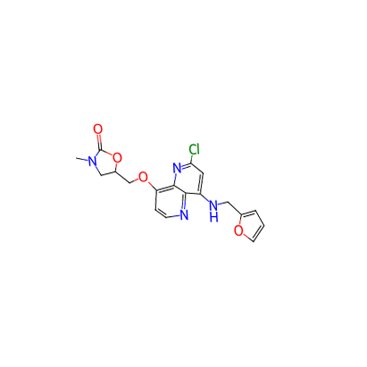 CN1CC(COc2ccnc3c(NCc4ccco4)cc(Cl)nc23)OC1=O